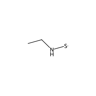 CCN[S]